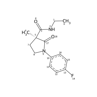 CCNC(=O)[C@]1(C)CCN(c2ccc(F)cc2)C1=O